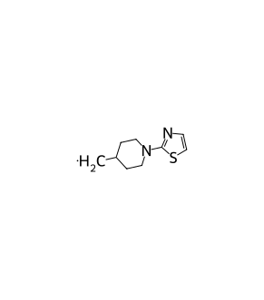 [CH2]C1CCN(c2nccs2)CC1